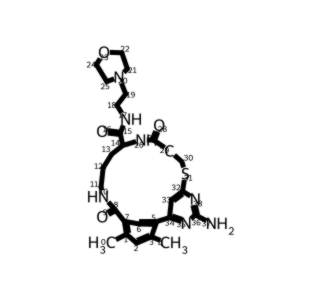 Cc1cc(C)c2cc1C(=O)NCCCC(C(=O)NCCN1CCOCC1)NC(=O)CCSc1cc-2nc(N)n1